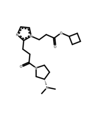 CN(C)[C@H]1CCN(C(=O)CCc2nccn2CCC(=O)OC2CCC2)C1